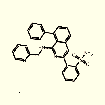 NS(=O)(=O)c1ccccc1-c1cc2cccc(-c3ccccc3)c2c(NCc2ccccn2)n1